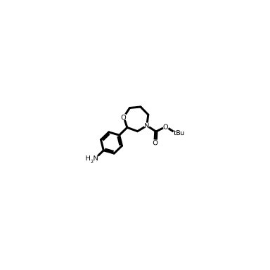 CC(C)(C)OC(=O)N1CCCOC(c2ccc(N)cc2)C1